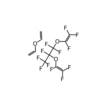 C=COC=C.FC(F)=C(F)OC(F)(F)C(F)(OC(F)=C(F)F)C(F)(F)F